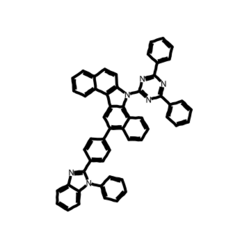 c1ccc(-c2nc(-c3ccccc3)nc(-n3c4ccc5ccccc5c4c4cc(-c5ccc(-c6nc7ccccc7n6-c6ccccc6)cc5)c5ccccc5c43)n2)cc1